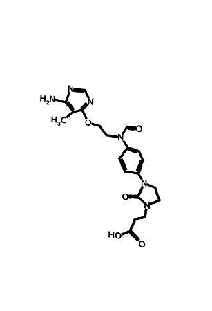 Cc1c(N)ncnc1OCCN(C=O)c1ccc(N2CCN(CCC(=O)O)C2=O)cc1